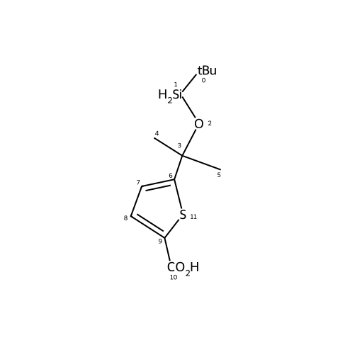 CC(C)(C)[SiH2]OC(C)(C)c1ccc(C(=O)O)s1